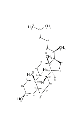 CC(C)CCC[C@@H](C)[C@H]1CC[C@H]2[C@@H]3CC4SC45C[C@@H](O)CC[C@]5(C)[C@H]3CC[C@]12C